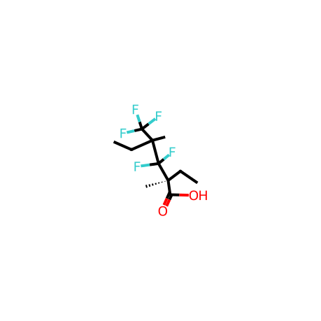 CCC(C)(C(F)(F)F)C(F)(F)[C@@](C)(CC)C(=O)O